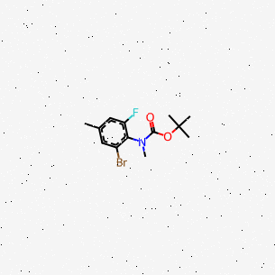 Cc1cc(F)c(N(C)C(=O)OC(C)(C)C)c(Br)c1